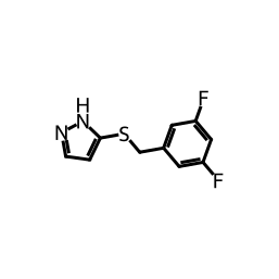 Fc1cc(F)cc(CSc2ccn[nH]2)c1